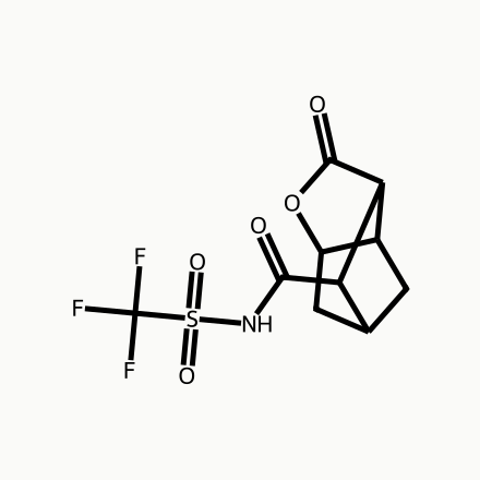 O=C(NS(=O)(=O)C(F)(F)F)C1C2CC3OC(=O)C1C3C2